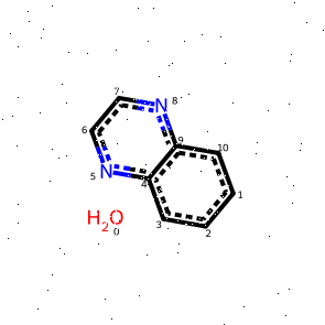 O.c1ccc2nccnc2c1